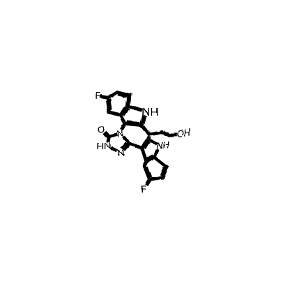 Cc1[nH]c2ccc(F)cc2c1-c1n[nH]c(=O)n1-c1c(CCCO)[nH]c2ccc(F)cc12